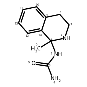 CC1(NC(N)=O)NCCc2ccccc21